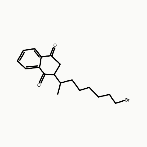 CC(CCCCCCBr)C1CC(=O)c2ccccc2C1=O